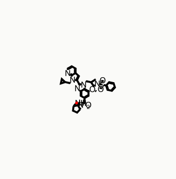 COc1cc(C(=O)N2CC3CCC2[C@@H]3N)cc2nc(-c3cc4cccnc4n3CC3CC3)n(CC3CN(S(=O)(=O)c4ccccc4)C3)c12